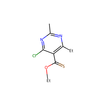 CCOC(=S)c1c(Cl)nc(C)nc1CC